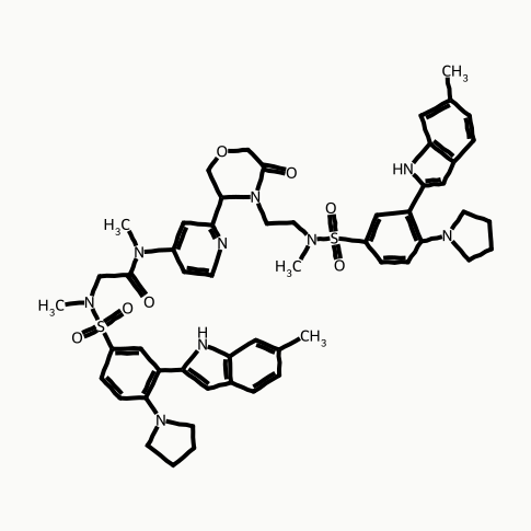 Cc1ccc2cc(-c3cc(S(=O)(=O)N(C)CCN4C(=O)COCC4c4cc(N(C)C(=O)CN(C)S(=O)(=O)c5ccc(N6CCCC6)c(-c6cc7ccc(C)cc7[nH]6)c5)ccn4)ccc3N3CCCC3)[nH]c2c1